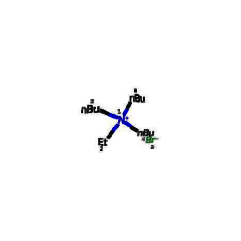 CCCC[N+](CC)(CCCC)CCCC.[Br-]